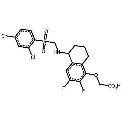 O=C(O)COc1c(F)c(F)cc2c1CCCC2NCS(=O)(=O)c1ccc(Cl)cc1Cl